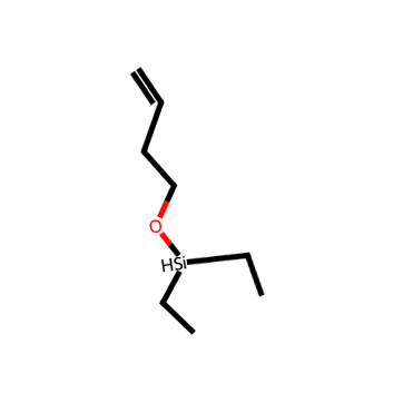 C=CCCO[SiH](CC)CC